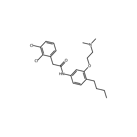 CCCCc1ccc(NC(=O)Cc2cccc(Cl)c2Cl)cc1OCCN(C)C